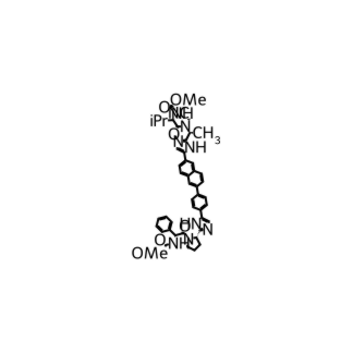 COC(=O)NC(C(=O)N(CC#N)[C@@H](C)c1ncc(-c2ccc3cc(-c4ccc(-c5cnc([C@@H]6CCCN6C(=O)[C@H](NC(=O)OC)c6ccccc6)[nH]5)cc4)ccc3c2)[nH]1)C(C)C